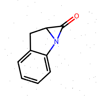 O=C1C2Cc3ccccc3N12